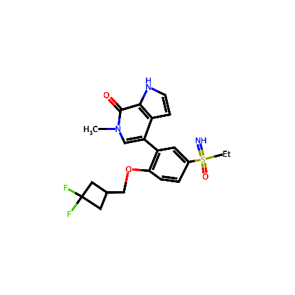 CCS(=N)(=O)c1ccc(OCC2CC(F)(F)C2)c(-c2cn(C)c(=O)c3[nH]ccc23)c1